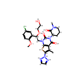 COc1ccc(F)cc1[C@H](Cn1c(=O)n([C@@H]2CCCN(C)C2=O)c(=O)c2c(C)c(-n3nccn3)sc21)OCCO